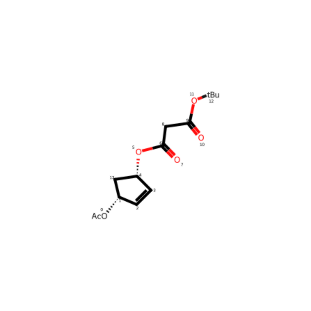 CC(=O)O[C@H]1C=C[C@@H](OC(=O)CC(=O)OC(C)(C)C)C1